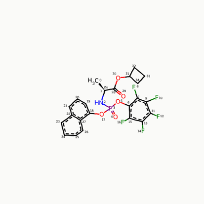 C[C@H](NP(=O)(Oc1c(F)c(F)c(F)c(F)c1F)Oc1cccc2ccccc12)C(=O)OC1CCC1